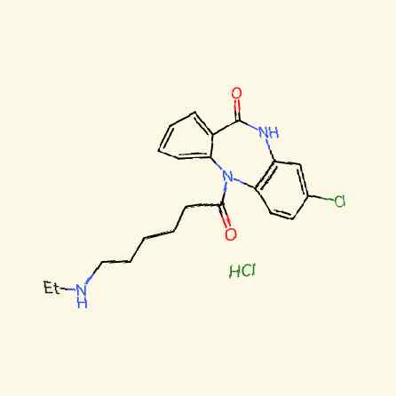 CCNCCCCCC(=O)N1c2ccc(Cl)cc2NC(=O)c2ccccc21.Cl